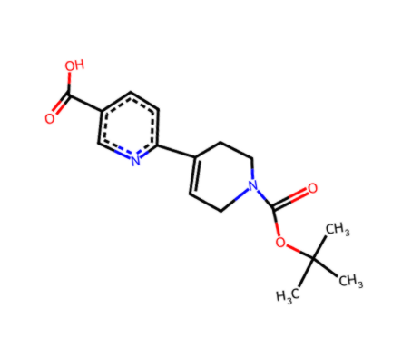 CC(C)(C)OC(=O)N1CC=C(c2ccc(C(=O)O)cn2)CC1